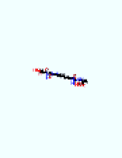 CC(C)C(CC(=O)NCC(=O)NCCCCCCCCCCNC(=O)CNC(=O)CCC(=O)O)C(=O)O